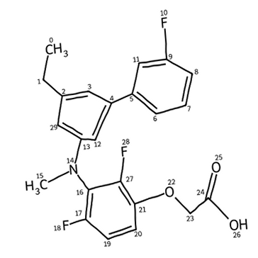 CCc1cc(-c2cccc(F)c2)cc(N(C)c2c(F)ccc(OCC(=O)O)c2F)c1